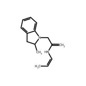 C=C(CN1c2ccccc2CC1C)N/C=C\C